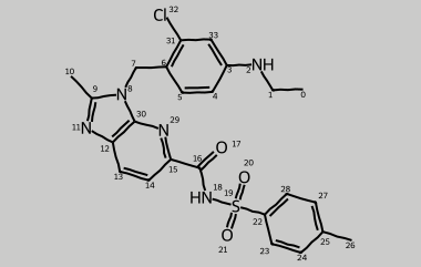 CCNc1ccc(Cn2c(C)nc3ccc(C(=O)NS(=O)(=O)c4ccc(C)cc4)nc32)c(Cl)c1